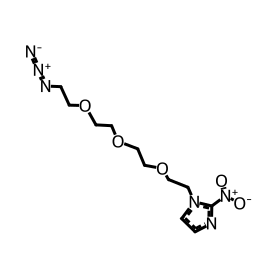 [N-]=[N+]=NCCOCCOCCOCCn1ccnc1[N+](=O)[O-]